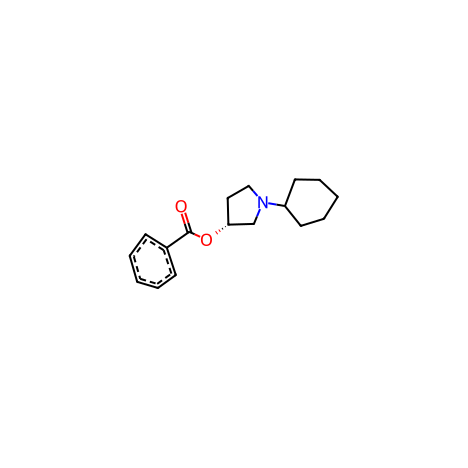 O=C(O[C@@H]1CCN(C2CCCCC2)C1)c1ccccc1